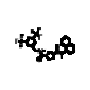 CC(NC1CCC(C(=O)NCc2cc(C(F)(F)F)cc(C(F)(F)F)c2)C1)c1cccc2ccccc12